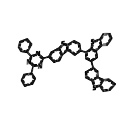 c1ccc(-c2nc(-c3ccccc3)nc(-c3ccc4c(c3)sc3ccc(-c5cc(-c6ccc7sc8ccccc8c7c6)cc6c5sc5ccccc56)cc34)n2)cc1